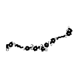 CC(CC1C(=O)N(c2ccc(OC(=O)c3ccc(OCCCCCCOc4ccc5ccc(=O)oc5c4)cc3)cc2)C(=O)C1C)c1ccc(OC(=O)c2ccc(OCCCCCCOC3=CC4OC(=O)C=CC4C=C3)cc2)cc1